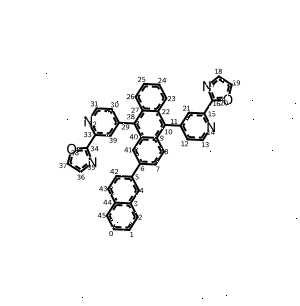 c1ccc2cc(-c3ccc4c(-c5ccnc(-c6ncco6)c5)c5ccccc5c(-c5ccnc(-c6ncco6)c5)c4c3)ccc2c1